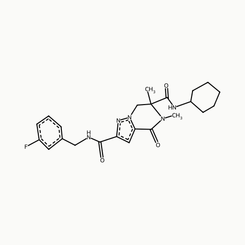 CN1C(=O)c2cc(C(=O)NCc3cccc(F)c3)nn2CC1(C)C(=O)NC1CCCCC1